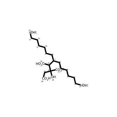 CCCCCCCCCCCCCCCCC(CCCCCCCCCCCCCCCC)C(C(=O)O)C(O)(CC(=O)O)C(=O)O